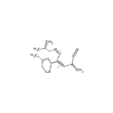 C=C(C#N)/C=C(\C=N/CC(=C)C)c1cccc(C)c1